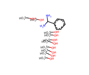 NC(N)c1ccccc1.O=S(=O)(O)O.O=S(=O)(O)O.O=S(=O)(O)O.O=S(=O)(O)O.O=S(=O)(O)O.O=S(=O)(O)O.O=S(=O)(O)O.O=S(=O)(O)O.O=S(=O)(O)O.O=S(=O)(O)O